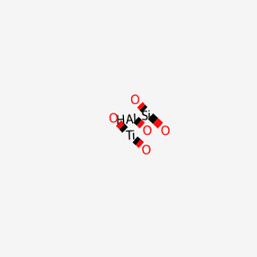 O=[Si]=O.[O]=[AlH].[O]=[Ti]=[O]